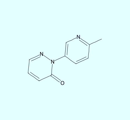 Cc1ccc(-n2ncccc2=O)cn1